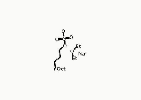 CCCCCCCCCCCOS(=O)(=O)[O-].CCOCC.[Na+]